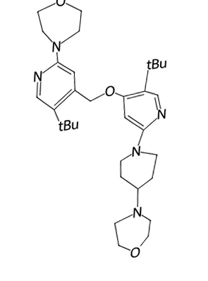 CC(C)(C)c1cnc(N2CCOCC2)cc1COc1cc(N2CCC(N3CCOCC3)CC2)ncc1C(C)(C)C